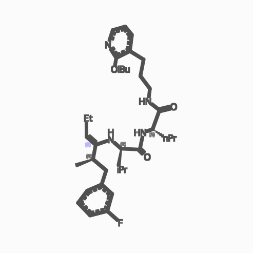 CC/C=C(\N[C@@H](C(=O)N[C@@H](CCC)C(=O)NCCCc1cccnc1OCC(C)C)C(C)C)[C@H](C)Cc1cccc(F)c1